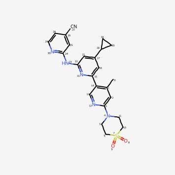 Cc1cc(N2CCS(=O)(=O)CC2)ncc1-c1cc(C2CC2)cc(Nc2cc(C#N)ccn2)n1